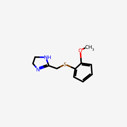 COc1ccccc1SCC1=NCCN1